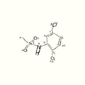 CS(=O)(=O)Nc1cc(Cl)[c]cc1Cl